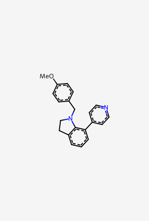 COc1ccc(CN2CCc3cccc(-c4ccncc4)c32)cc1